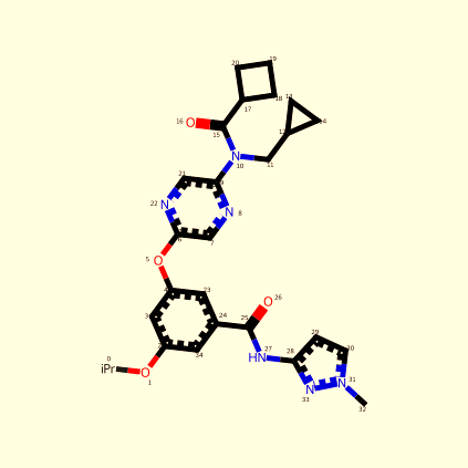 CC(C)Oc1cc(Oc2cnc(N(CC3CC3)C(=O)C3CCC3)cn2)cc(C(=O)Nc2ccn(C)n2)c1